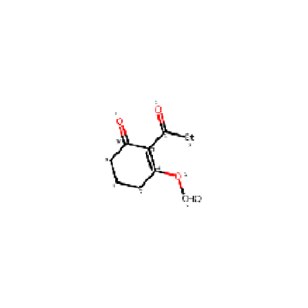 CCC(=O)C1=C(OC=O)CCCC1=O